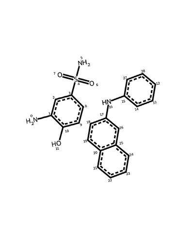 Nc1cc(S(N)(=O)=O)ccc1O.c1ccc(Nc2ccc3ccccc3c2)cc1